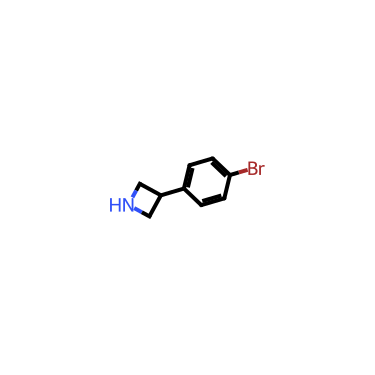 Brc1ccc(C2CNC2)cc1